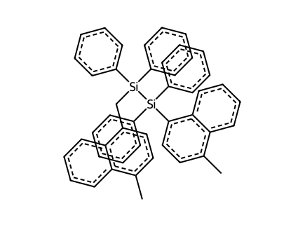 Cc1ccc(C[Si](c2ccccc2)(c2ccccc2)[Si](c2ccccc2)(c2ccccc2)c2ccc(C)c3ccccc23)c2ccccc12